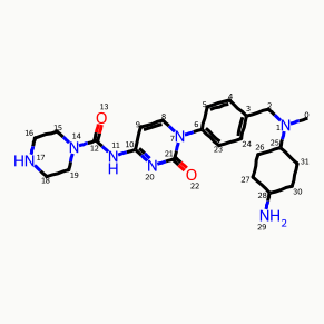 CN(Cc1ccc(-n2ccc(NC(=O)N3CCNCC3)nc2=O)cc1)C1CCC(N)CC1